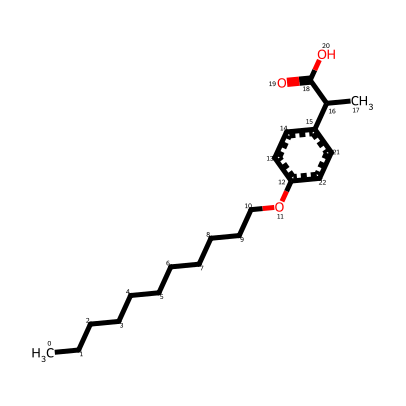 CCCCCCCCCCCOc1ccc(C(C)C(=O)O)cc1